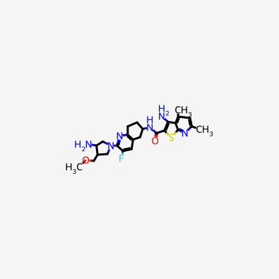 COCC1CN(c2nc3c(cc2F)CC(NC(=O)c2sc4nc(C)cc(C)c4c2N)CC3)CC1N